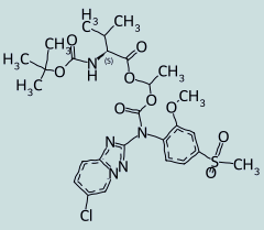 COc1cc(S(C)(=O)=O)ccc1N(C(=O)OC(C)OC(=O)[C@@H](NC(=O)OC(C)(C)C)C(C)C)c1nc2ccc(Cl)cn2n1